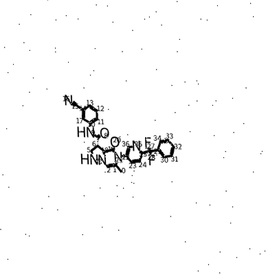 CC1=CN2NC[C@H](C(=O)Nc3cccc(C#N)c3)C2C(=O)N1c1ccc(C(F)(F)c2ccccc2)nc1